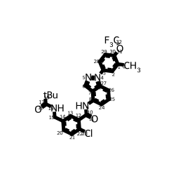 Cc1cc(-n2ncc3c(NC(=O)c4cc(CNC(=O)C(C)(C)C)ccc4Cl)cccc32)ccc1OC(F)(F)F